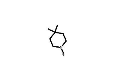 [2H]N1CCC(C)(C)CC1